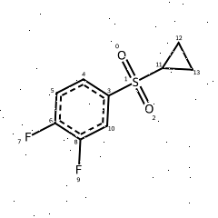 O=S(=O)(c1ccc(F)c(F)c1)C1CC1